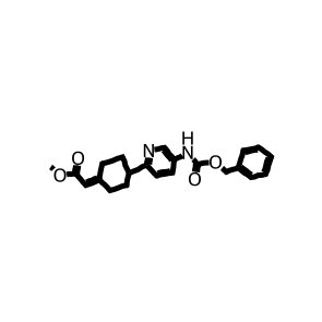 COC(=O)C=C1CCC(c2ccc(NC(=O)OCc3ccccc3)cn2)CC1